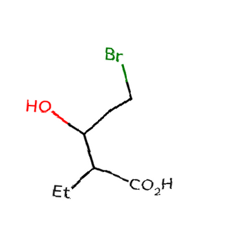 CCC(C(=O)O)C(O)CBr